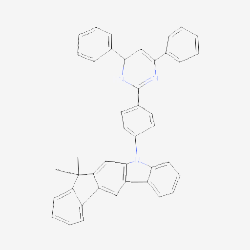 CC1(C)c2ccccc2-c2cc3c4ccccc4n(-c4ccc(C5=NC(c6ccccc6)=CC(c6ccccc6)N5)cc4)c3cc21